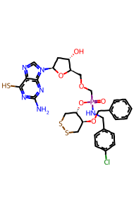 Nc1nc(S)c2ncn([C@H]3C[C@H](O)[C@@H](COCP(=O)(NCc4ccc(Cl)cc4)O[C@H]4CSSC[C@@H]4OCc4ccccc4)O3)c2n1